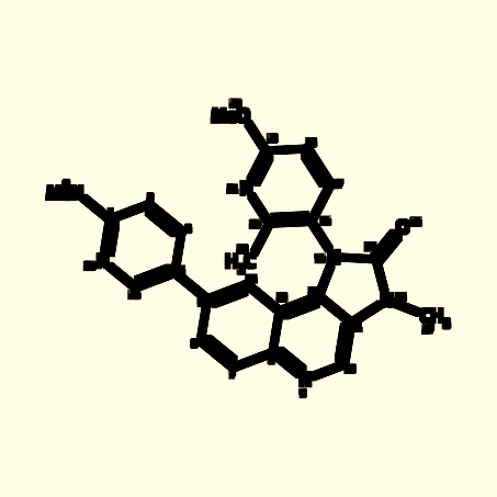 CNc1ccc(-c2ccc3ncc4c(c3c2)n(-c2ccc(OC)nc2C)c(=O)n4C)cn1